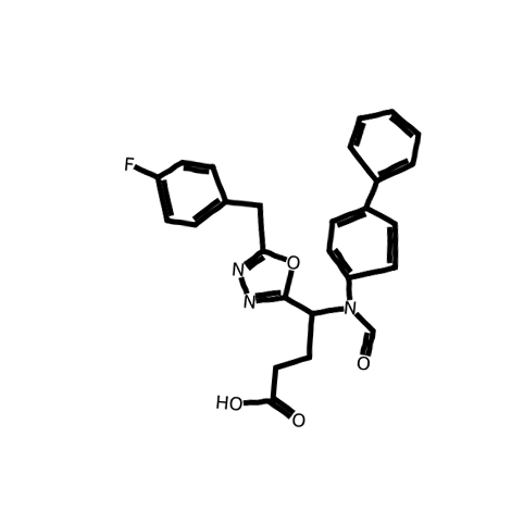 O=CN(c1ccc(-c2ccccc2)cc1)C(CCC(=O)O)c1nnc(Cc2ccc(F)cc2)o1